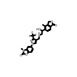 Cc1c(C(O)CNCc2cn(-c3ccc4oc(=O)n(C)c4c3)nc2C(F)(F)F)ccc2c1COC2=O